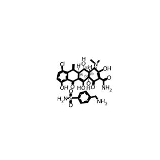 C=C1c2c(Cl)ccc(O)c2C(=O)C2=C(O)[C@]3(O)C(=O)C(C(N)=O)=C(O)[C@@H](N(C)C)[C@@H]3[C@@H](O)[C@H]12.NCc1ccc(S(N)(=O)=O)cc1